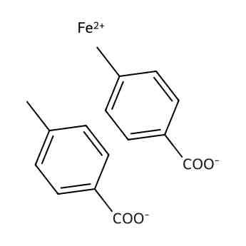 Cc1ccc(C(=O)[O-])cc1.Cc1ccc(C(=O)[O-])cc1.[Fe+2]